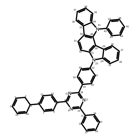 C1=CCC(c2ccc(-c3nc(-c4ccccc4)nc(-c4ccc(-n5c6ccccc6c6c5ccc5c7ccccc7n(-c7ccccc7)c56)cc4)n3)cc2)C=C1